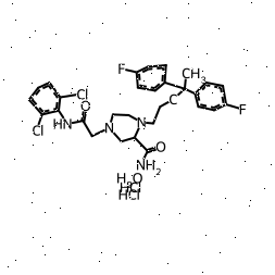 CC(CCCN1CCN(CC(=O)Nc2c(Cl)cccc2Cl)CC1C(N)=O)(c1ccc(F)cc1)c1ccc(F)cc1.Cl.Cl.O